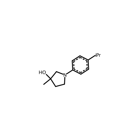 CC(C)c1ccc(N2CCC(C)(O)C2)cc1